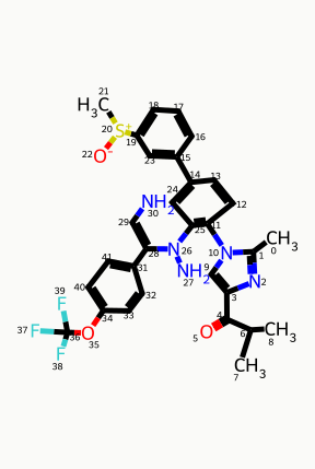 Cc1nc(C(=O)C(C)C)cn1-c1ccc(-c2cccc([S+](C)[O-])c2)cc1N(N)/C(=C\N)c1ccc(OC(F)(F)F)cc1